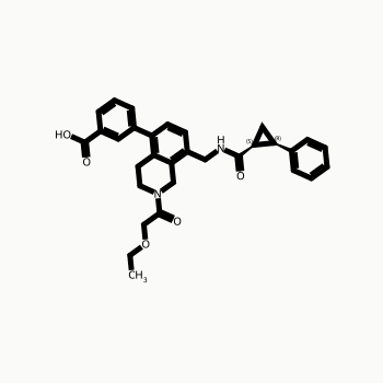 CCOCC(=O)N1CCc2c(-c3cccc(C(=O)O)c3)ccc(CNC(=O)[C@H]3C[C@H]3c3ccccc3)c2C1